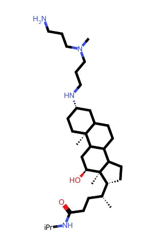 CC(C)NC(=O)CC[C@@H](C)[C@H]1CCC2C3CCC4C[C@@H](NCCCN(C)CCCN)CC[C@]4(C)C3C[C@H](O)[C@@]21C